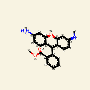 C/N=c1/ccc2c(-c3ccccc3C(=O)OC)c3ccc(N)cc3oc-2c1